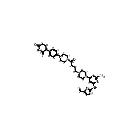 Cc1nc(Nc2ncc(C=O)s2)cc(N2CCN(CCCC(=O)N3CCN(c4ccc(C5CCC(=O)NC5=O)cc4)CC3)CC2)n1